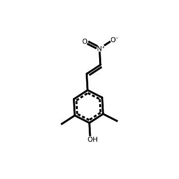 Cc1cc(C=C[N+](=O)[O-])cc(C)c1O